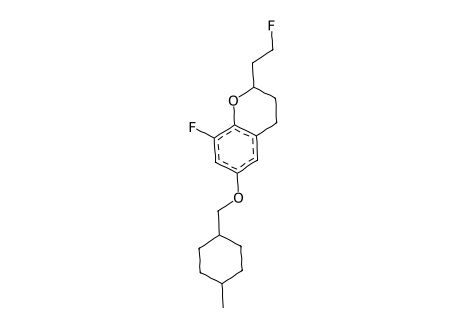 CC1CCC(COc2cc(F)c3c(c2)CCC(CCF)O3)CC1